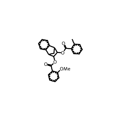 COc1ccccc1C(=O)OC1C2CC(c3ccccc32)C1OC(=O)c1ccccc1C